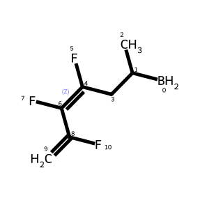 BC(C)C/C(F)=C(/F)C(=C)F